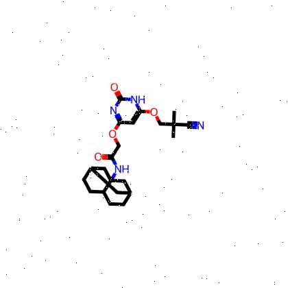 CC(C)(C#N)COc1cc(OCC(=O)NC23CC4CCC2CCC(C4)C3)nc(=O)[nH]1